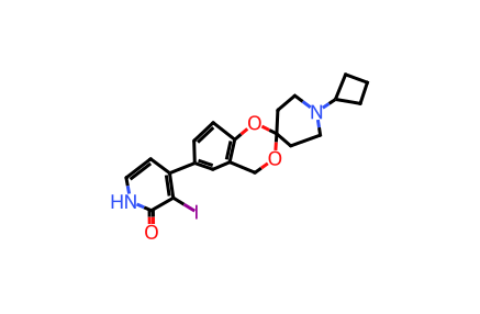 O=c1[nH]ccc(-c2ccc3c(c2)COC2(CCN(C4CCC4)CC2)O3)c1I